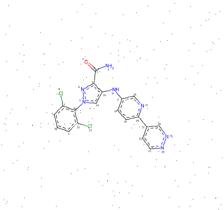 NC(=O)c1nn(-c2c(Cl)cccc2Cl)cc1Nc1ccc(-c2ccnnc2)nc1